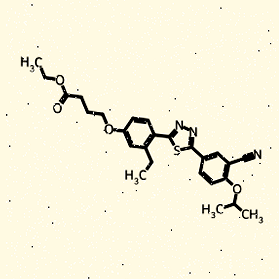 CCOC(=O)CCCOc1ccc(-c2nnc(-c3ccc(OC(C)C)c(C#N)c3)s2)c(CC)c1